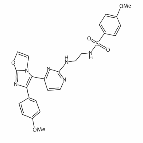 COc1ccc(-c2nc3occn3c2-c2ccnc(NCCNS(=O)(=O)c3ccc(OC)cc3)n2)cc1